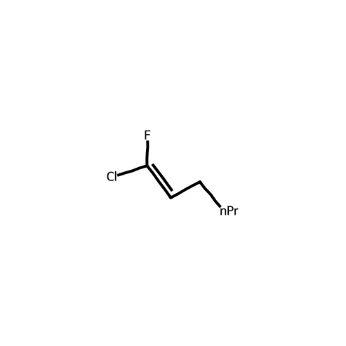 [CH2]CCC/C=C(\F)Cl